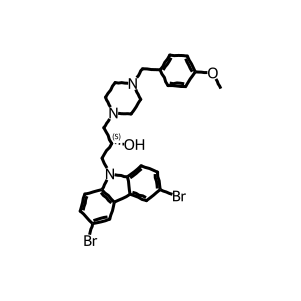 COc1ccc(CN2CCN(C[C@H](O)Cn3c4ccc(Br)cc4c4cc(Br)ccc43)CC2)cc1